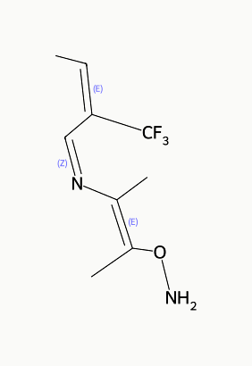 C\C=C(/C=N\C(C)=C(/C)ON)C(F)(F)F